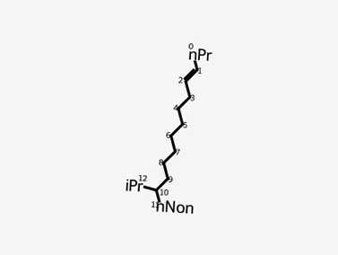 [CH2]CCC=CCCCCCCCC(CCCCCCCC[CH2])C(C)C